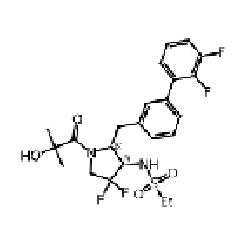 CCS(=O)(=O)N[C@@H]1[C@H](Cc2cccc(-c3cccc(F)c3F)c2)N(C(=O)C(C)(C)O)CC1(F)F